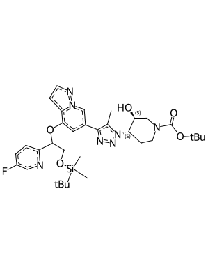 Cc1c(-c2cc(OC(CO[Si](C)(C)C(C)(C)C)c3ccc(F)cn3)c3ccnn3c2)nnn1[C@H]1CCN(C(=O)OC(C)(C)C)C[C@@H]1O